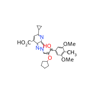 COc1cc([C@@H](O)[C@H](Cn2cc3nc(C4CC4)cc(C(=O)O)c3n2)OC2CCCC2)cc(OC)c1C